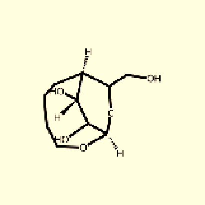 OCC1C[C@H]2OCCCC[C@@H]1[C@@H](O)C2O